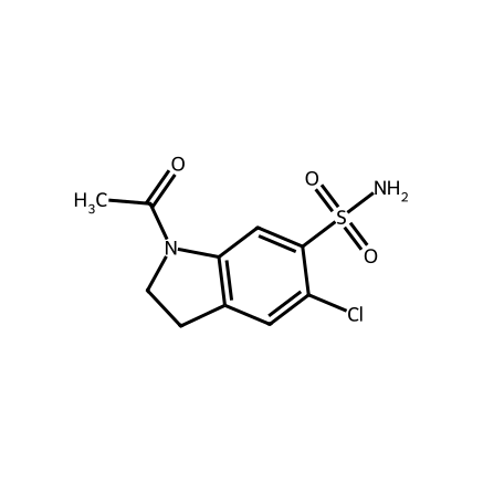 CC(=O)N1CCc2cc(Cl)c(S(N)(=O)=O)cc21